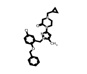 Cc1cc(N2CCN(CC3CC3)CC2=O)nn1Cc1cc(Cl)ccc1OCc1ccccc1